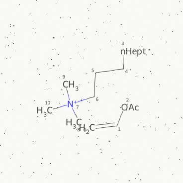 C=COC(C)=O.CCCCCCCCCC[N+](C)(C)C